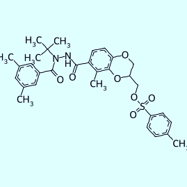 Cc1ccc(S(=O)(=O)OCC2COc3ccc(C(=O)NN(C(=O)c4cc(C)cc(C)c4)C(C)(C)C)c(C)c3O2)cc1